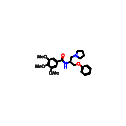 COc1cc(C(=O)NC(COc2ccccc2)CN2CCCC2)cc(OC)c1OC